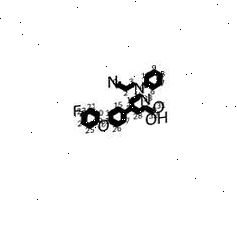 N#CCCN(c1ccccc1)c1cc(-c2ccc(Oc3ccc(F)cc3)cc2)cc(C(=O)O)n1